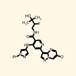 CC(C)n1cc(Nc2cc(-c3cnn4cc(Cl)cnc34)ncc2C(=O)NCC(F)C(C)(C)O)cn1